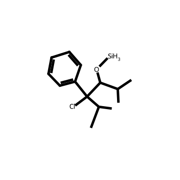 CC(C)C(O[SiH3])C(Cl)(c1ccccc1)C(C)C